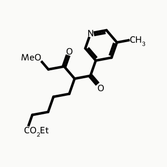 CCOC(=O)CCCCC(C(=O)COC)C(=O)c1cncc(C)c1